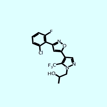 CC(O)Cn1ncc(-c2cc(-c3c(F)cccc3Cl)no2)c1C(F)(F)F